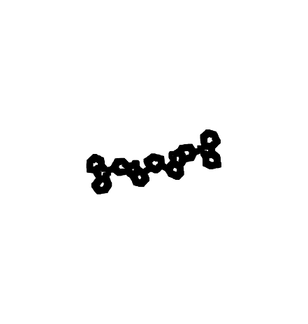 c1cc(-c2cccc3c2oc2ccc(-n4c5ccccc5c5ccccc54)cc23)cc(-c2cccc3c2oc2ccc(-n4c5ccccc5c5ccccc54)cc23)c1